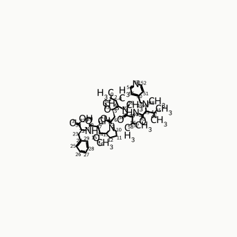 CC[C@H](C)C([C@@H](CC(=O)N1CCC[C@H]1[C@H](OC)[C@@H](C)C(=O)N[C@@H](Cc1ccccc1)C(=O)O)OC)N(C)C(=O)[C@@H](NC(=O)C(C(C)C)N(C)Cc1ccncc1)C(C)C